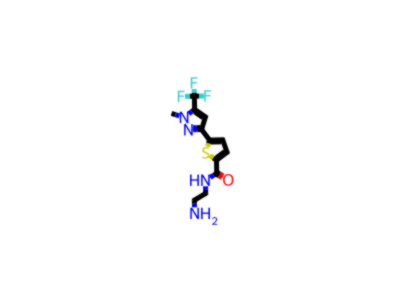 Cn1nc(-c2ccc(C(=O)NCCN)s2)cc1C(F)(F)F